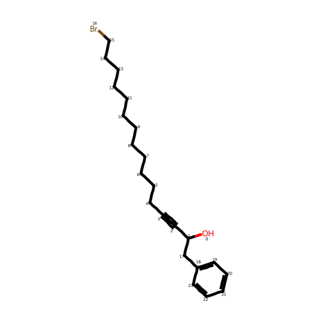 OC(C#CCCCCCCCCCCCCBr)Cc1ccccc1